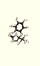 O=C1OCC(Oc2c(F)c(F)c(F)c(F)c2F)(C(F)(F)C(F)(F)F)O1